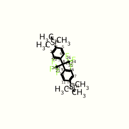 C[Si](C)(C)c1ccc(C(c2ccc([Si](C)(C)C)cc2)(C(F)(F)F)C(F)(F)F)cc1